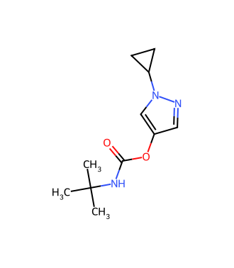 CC(C)(C)NC(=O)Oc1cnn(C2CC2)c1